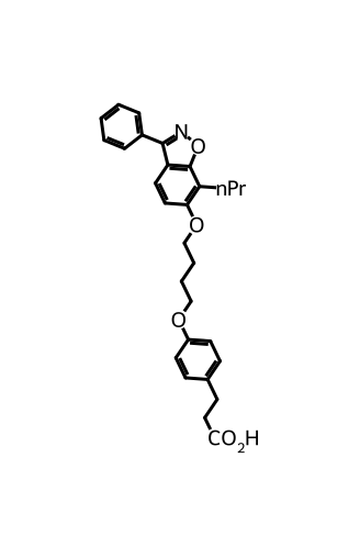 CCCc1c(OCCCCOc2ccc(CCC(=O)O)cc2)ccc2c(-c3ccccc3)noc12